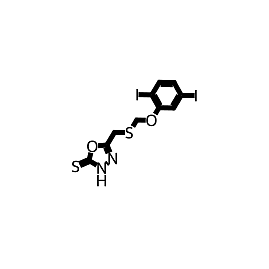 S=c1[nH]nc(CSCOc2cc(I)ccc2I)o1